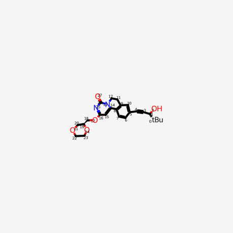 CC(C)(C)C(O)C#Cc1ccc2c(c1)CCn1c-2cc(OC[C@@H]2COCCO2)nc1=O